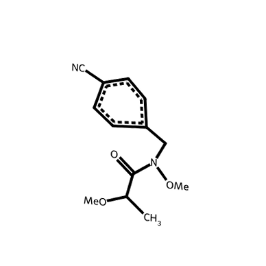 COC(C)C(=O)N(Cc1ccc(C#N)cc1)OC